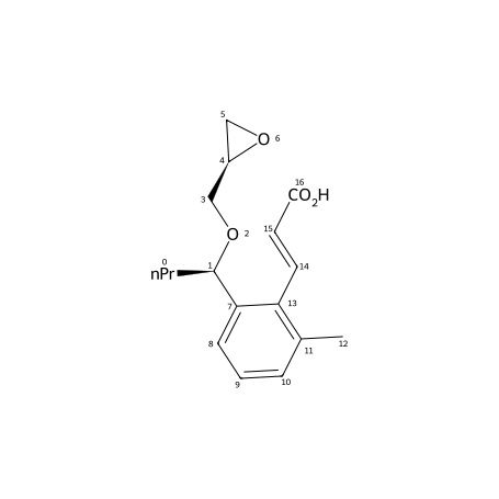 CCC[C@@H](OC[C@H]1CO1)c1cccc(C)c1/C=C/C(=O)O